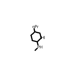 CCCC1CCC(PC)CC1.I